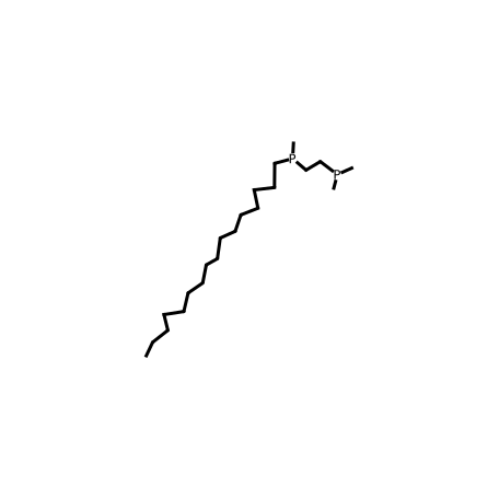 CCCCCCCCCCCCCCCCP(C)CCP(C)C